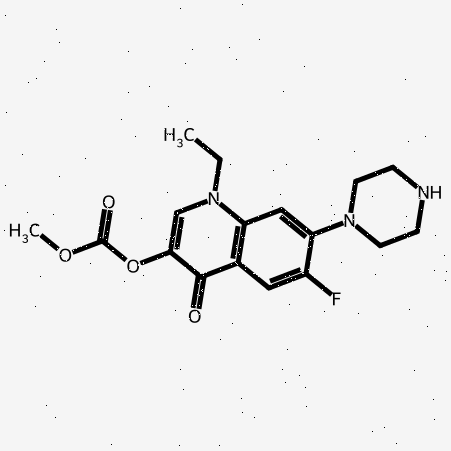 CCn1cc(OC(=O)OC)c(=O)c2cc(F)c(N3CCNCC3)cc21